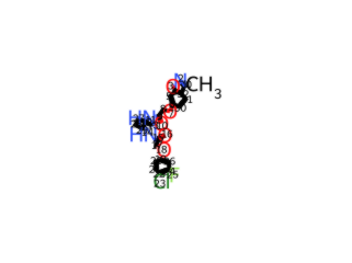 Cc1noc2cc(OCC(=O)NC3(CNC(=O)COc4ccc(Cl)c(F)c4)CCC3)ccc12